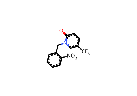 O=c1ccc(C(F)(F)F)cn1Cc1ccccc1[N+](=O)[O-]